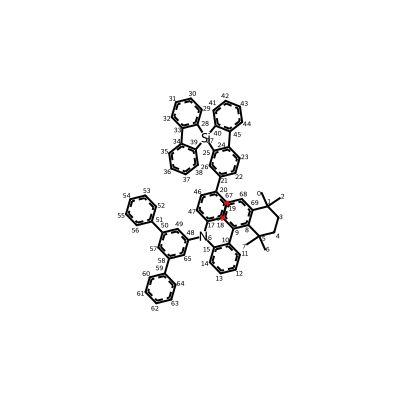 CC1(C)CCC(C)(C)c2c(-c3ccccc3N(c3ccc(-c4ccc5c(c4)[Si]4(c6ccccc6-c6ccccc64)c4ccccc4-5)cc3)c3cc(-c4ccccc4)cc(-c4ccccc4)c3)cccc21